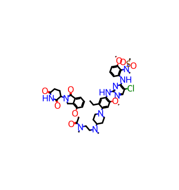 CCc1cc(Nc2ncc(Cl)c(Nc3cccc(OC)c3N(C)S(C)(=O)=O)n2)c(OC)cc1N1CCC(N(C)CCN(C)C(=O)COc2cccc3c2CN(C2CCC(=O)NC2=O)C3=O)CC1